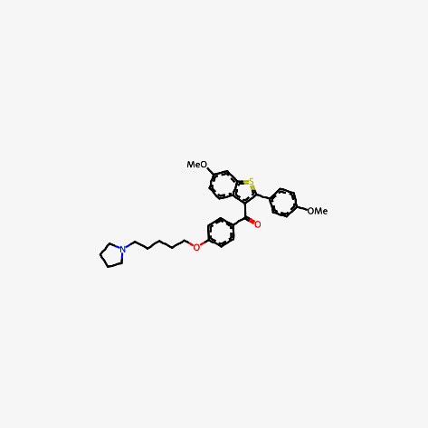 COc1ccc(-c2sc3cc(OC)ccc3c2C(=O)c2ccc(OCCCCCN3CCCC3)cc2)cc1